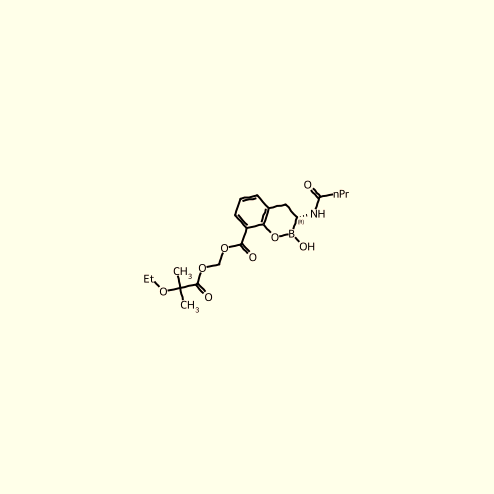 CCCC(=O)N[C@H]1Cc2cccc(C(=O)OCOC(=O)C(C)(C)OCC)c2OB1O